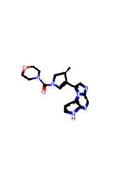 C[C@@H]1CN(C(=O)N2CCOCC2)C=C1c1cnc2cnc3[nH]ccc3n12